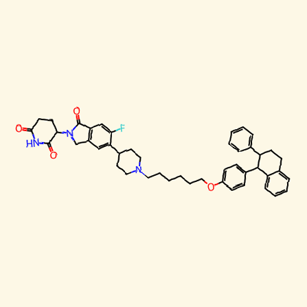 O=C1CCC(N2Cc3cc(C4CCN(CCCCCCOc5ccc(C6c7ccccc7CCC6c6ccccc6)cc5)CC4)c(F)cc3C2=O)C(=O)N1